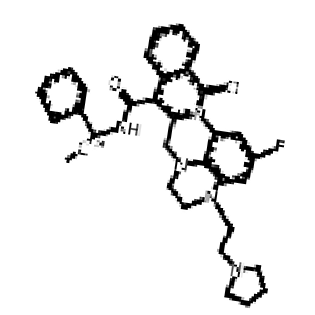 CC[C@H](NC(=O)c1c(CN2CCN(CCN3CCCC3)CC2)n(-c2cccc(F)c2)c(=O)c2ccccc12)c1ccccc1